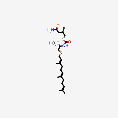 CCC(CSC(=O)N[C@@H](CSC/C=C(\C)CC/C=C(\C)CCC=C(C)C)C(=O)O)CC(N)=O